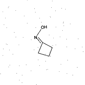 ON=C1C[CH]C1